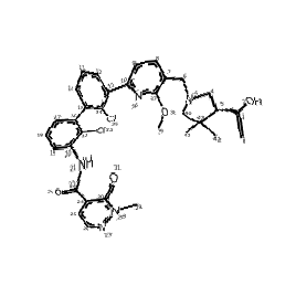 C=C(O)[C@@H]1CN(Cc2ccc(-c3cccc(-c4cccc(NC(=O)c5ccnn(C)c5=O)c4Cl)c3Cl)nc2OC)CC1(C)C